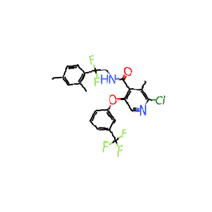 Cc1ccc(C(F)(F)CNC(=O)c2c(Oc3cccc(C(F)(F)F)c3)cnc(Cl)c2C)c(C)c1